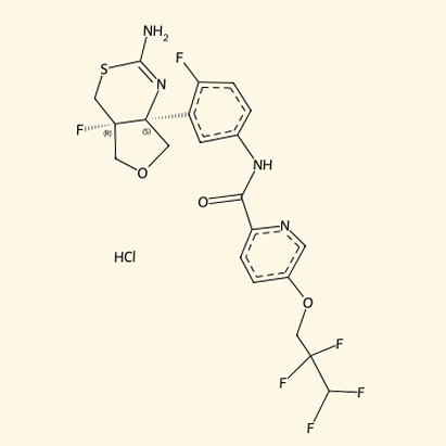 Cl.NC1=N[C@@]2(c3cc(NC(=O)c4ccc(OCC(F)(F)C(F)F)cn4)ccc3F)COC[C@@]2(F)CS1